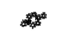 c1ccc(C2=NC(c3cccc(-c4cccc(-c5cc(-c6ccccc6)cc(-c6ccccc6)n5)c4)c3)=NC(c3ccccc3)N2)cc1